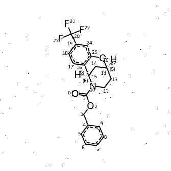 O=C(OCc1ccccc1)N1CC[C@H]2C[C@@H]1c1ccc(C(F)(F)F)cc1O2